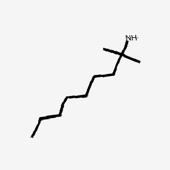 CCCCCCCC(C)(C)[NH]